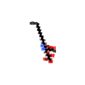 CCCCCCCCCCCCCCCCCCCCCCCNC(=O)NC(COCC(O)C(O)CO)C(O)CC(O)CC